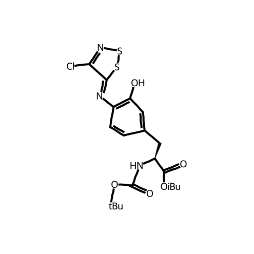 CC(C)COC(=O)[C@H](Cc1ccc(/N=c2\ssnc2Cl)c(O)c1)NC(=O)OC(C)(C)C